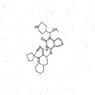 CC(C1CCNCC1)n1c(=O)[nH]c(=NC(CC2CCCCC2)C(=O)NC2(C#N)CCCC2)c2ccccc21